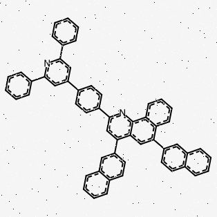 c1ccc(-c2cc(-c3ccc(-c4cc(-c5ccc6ccccc6c5)c5cc(-c6ccc7ccccc7c6)c6ccccc6c5n4)cc3)cc(-c3ccccc3)n2)cc1